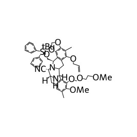 C=CCOc1c(C)c2c(c3c1CC1[C@H]4N[C@H](Cc5cc(C)c(OC)c(OCOCCOC)c54)[C@H](C#N)N1[C@H]3CO[Si](c1ccccc1)(c1ccccc1)C(C)(C)C)OCO2